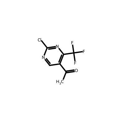 CC(=O)c1cnc(Cl)nc1C(F)(F)F